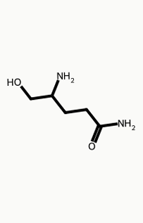 NC(=O)CCC(N)CO